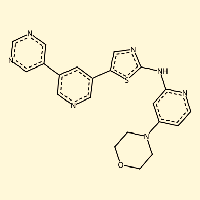 c1ncc(-c2cncc(-c3cnc(Nc4cc(N5CCOCC5)ccn4)s3)c2)cn1